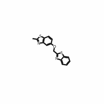 Cc1nc2cc(OCc3nc4ccccc4s3)ccc2s1